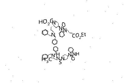 CCOC(=O)CCCn1c(=O)n(C2CCN(C(=O)O)[C@@H](CCCN(Cc3ccccc3)Cc3ccccc3)C2)c2ccccc21.C[C@@H](CNC(=S)N1CCC(n2c(=O)[nH]c3ccccc32)CC1)N(Cc1ccccc1)Cc1ccccc1